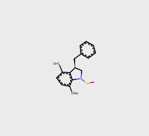 COc1ccc(C=O)c2c1N(SI)C[C@@H]2Cc1ccccc1